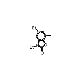 CCc1cc(C)c2oc(=O)n(CC)c2c1